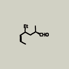 C/C=C\C(CC)C[C@@H](C)C=O